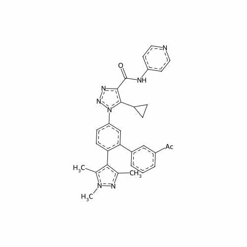 CC(=O)c1cccc(-c2cc(-n3nnc(C(=O)Nc4ccncc4)c3C3CC3)ccc2-c2c(C)nn(C)c2C)c1